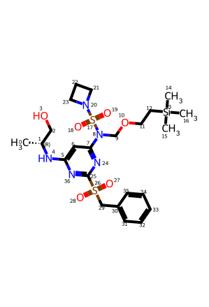 C[C@H](CO)Nc1cc(N(COCC[Si](C)(C)C)S(=O)(=O)N2CCC2)nc(S(=O)(=O)Cc2ccccc2)n1